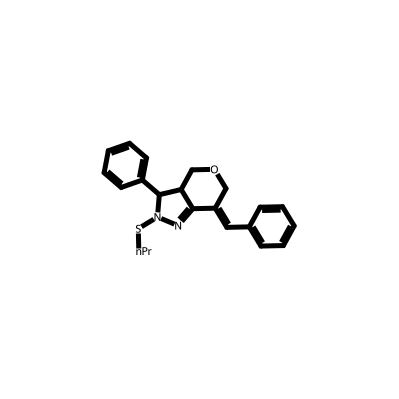 CCCSN1N=C2C(=Cc3ccccc3)COCC2C1c1ccccc1